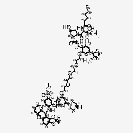 Cc1ncsc1-c1ccc(CNC(=O)[C@@H]2C[C@@H](O)CN2C(=O)[C@@H](NC(=O)CCCCF)C(C)(C)C)c(OCCOCCOCCOCCOc2nc(Nc3cc(S(C)(=O)=O)ccc3N[C@@H](c3cccc4c3OC(F)(F)O4)c3ncccc3Cl)nc(N3CCNCC3)n2)c1